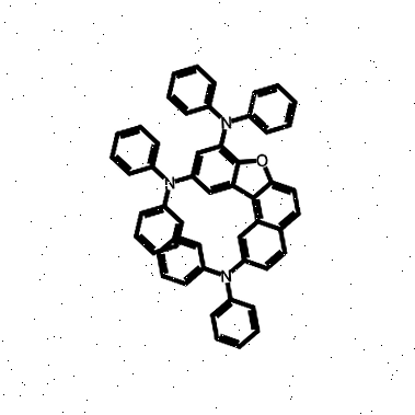 c1ccc(N(c2ccccc2)c2ccc3ccc4oc5c(N(c6ccccc6)c6ccccc6)cc(N(c6ccccc6)c6ccccc6)cc5c4c3c2)cc1